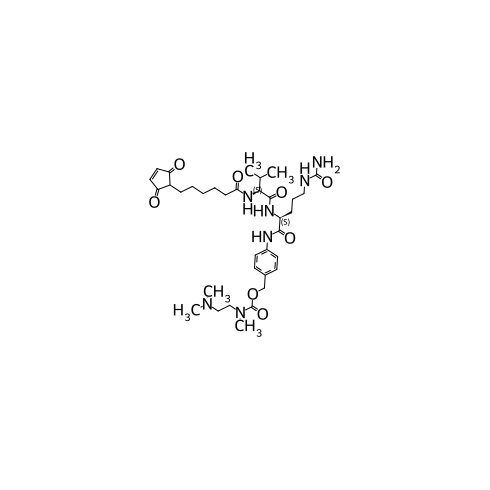 CC(C)[C@H](NC(=O)CCCCCC1C(=O)C=CC1=O)C(=O)N[C@@H](CCCNC(N)=O)C(=O)Nc1ccc(COC(=O)N(C)CCN(C)C)cc1